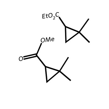 CCOC(=O)C1CC1(C)C.COC(=O)C1CC1(C)C